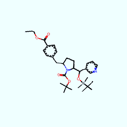 CCOC(=O)c1ccc(CC2CCC(C(O[Si](C)(C)C(C)(C)C)c3cccnc3)N2C(=O)OC(C)(C)C)cc1